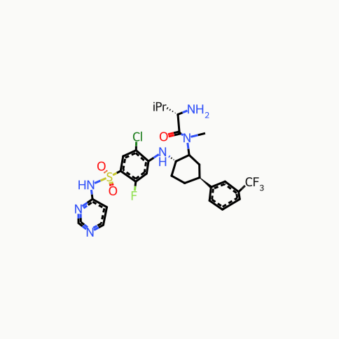 CC(C)[C@H](N)C(=O)N(C)C1C[C@@H](c2cccc(C(F)(F)F)c2)CC[C@@H]1Nc1cc(F)c(S(=O)(=O)Nc2ccncn2)cc1Cl